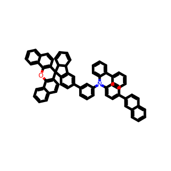 C1=CC2c3cc(-c4cccc(N(c5ccc(-c6ccc7ccccc7c6)cc5)c5ccccc5-c5ccccc5)c4)ccc3C3(c4ccc5ccccc5c4Oc4c3ccc3ccccc43)C2C=C1